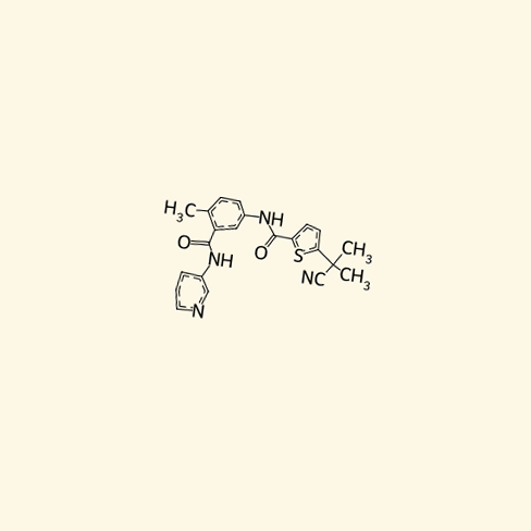 Cc1ccc(NC(=O)c2ccc(C(C)(C)C#N)s2)cc1C(=O)Nc1cccnc1